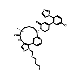 C[C@@H]1CCC[C@H](N2CCC(c3cc(Cl)ccc3-n3ccnn3)=CC2=O)c2cc(ccn2)-c2c(cnn2COCCSI)NC1=O